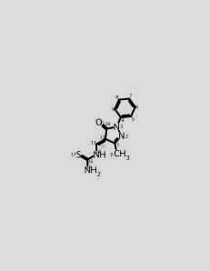 CC1=NN(c2ccccc2)C(=O)/C1=C/NC(N)=S